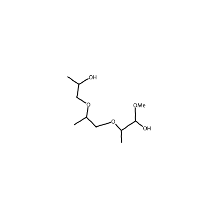 COC(O)C(C)OCC(C)OCC(C)O